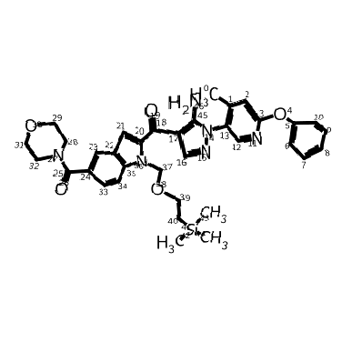 Cc1cc(Oc2ccccc2)ncc1-n1ncc(C(=O)c2cc3cc(C(=O)N4CCOCC4)ccc3n2COCC[Si](C)(C)C)c1N